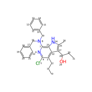 CCCc1c(Cl)nc(N(Cc2ccccc2)Cc2ccccc2)c2[nH]c(C)c(C(O)CC)c12